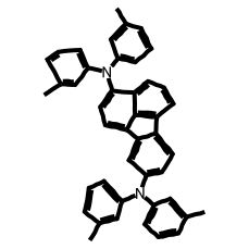 Cc1cccc(N(c2cccc(C)c2)c2ccc3c(c2)-c2ccc(N(c4cccc(C)c4)c4cccc(C)c4)c4cccc-3c24)c1